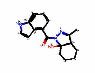 CC1=NN(C(=O)c2cccc3[nH]ccc23)C2(O)CCCCC12